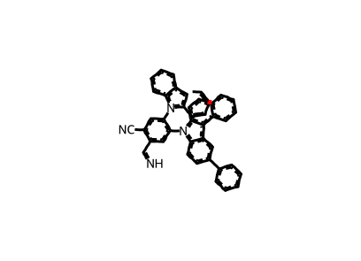 C/C=C\C=C/c1cc2ccccc2n1-c1cc(C#N)c(C=N)cc1-n1c2ccc(-c3ccccc3)cc2c2c3ccccc3ccc21